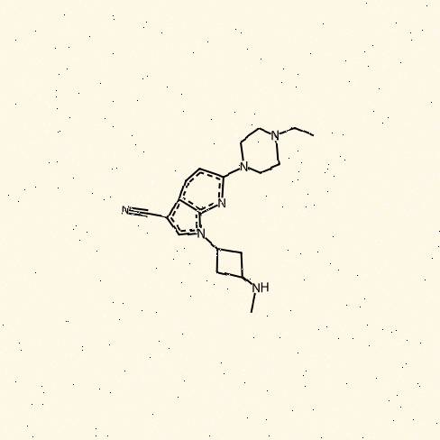 CCN1CCN(c2ccc3c(C#N)cn(C4CC(NC)C4)c3n2)CC1